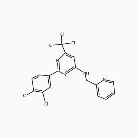 Clc1ccc(-c2nc(NCc3ccccn3)nc(C(Cl)(Cl)Cl)n2)cc1Cl